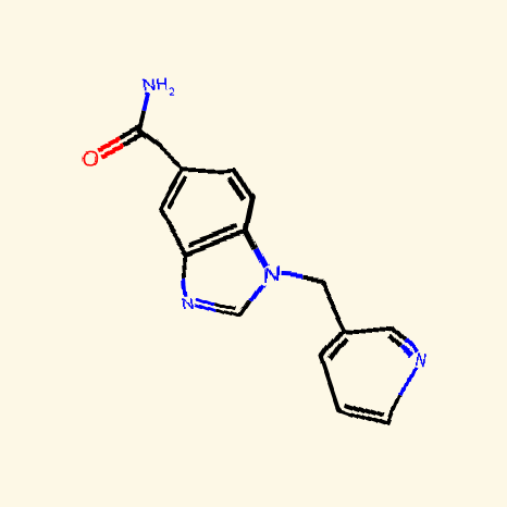 NC(=O)c1ccc2c(c1)ncn2Cc1cccnc1